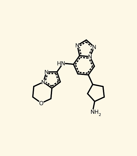 NC1CCC(c2cc(Nc3cc4n(n3)CCOC4)c3ncnn3c2)C1